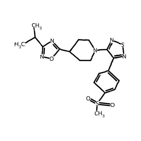 CC(C)c1noc(C2CCN(c3nsnc3-c3ccc(S(C)(=O)=O)cc3)CC2)n1